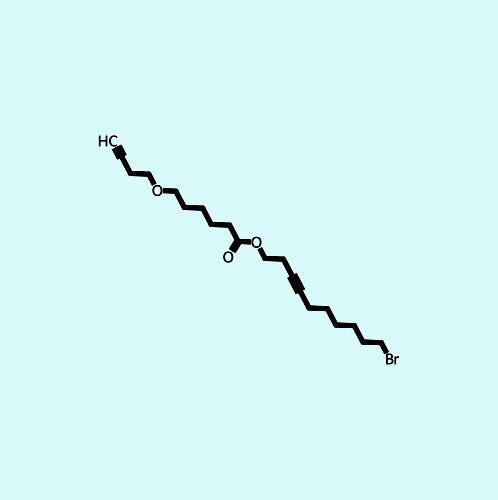 C#CCCOCCCCCC(=O)OCCC#CCCCCCCBr